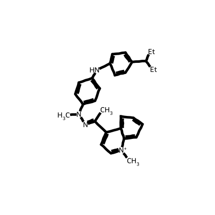 CCC(CC)c1ccc(Nc2ccc(N(C)/N=C(\C)c3cc[n+](C)c4ccccc34)cc2)cc1